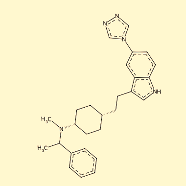 CC(c1ccccc1)N(C)[C@H]1CC[C@@H](CCc2c[nH]c3ccc(-n4cnnc4)cc23)CC1